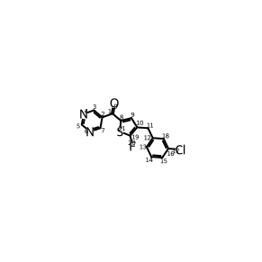 O=C(c1cncnc1)c1cc(Cc2cccc(Cl)c2)c(F)s1